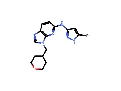 CC(C)c1cc(Nc2ccc3ncn(CC4CCOCC4)c3n2)n[nH]1